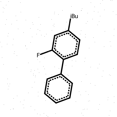 [CH2]CC(C)c1ccc(-c2ccccc2)c(F)c1